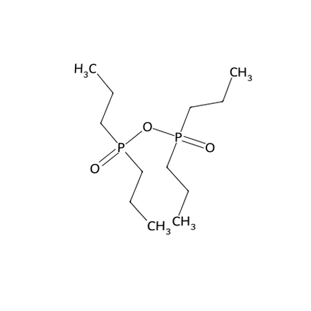 CCCP(=O)(CCC)OP(=O)(CCC)CCC